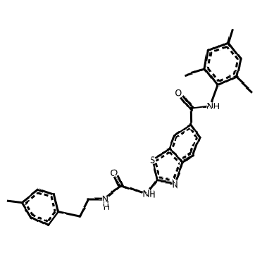 Cc1ccc(CCNC(=O)Nc2nc3ccc(C(=O)Nc4c(C)cc(C)cc4C)cc3s2)cc1